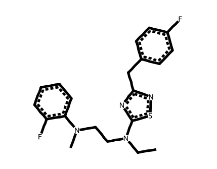 CCN(CCN(C)c1ccccc1F)c1nc(Cc2ccc(F)cc2)ns1